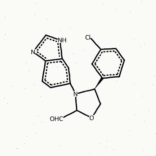 O=CC1OC[C@H](c2cccc(Cl)c2)N1c1ccc2nc[nH]c2c1